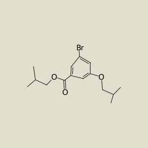 CC(C)COC(=O)c1cc(Br)cc(OCC(C)C)c1